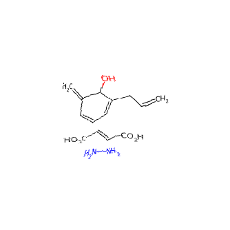 C=CCC1=CC=CC(=C)C1O.NN.O=C(O)/C=C/C(=O)O